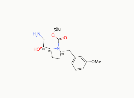 COc1cccc(C[C@@H]2CC[C@H]([C@@H](O)CN)N2C(=O)OC(C)(C)C)c1